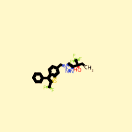 CCC(O)(c1cn(Cc2ccc3c(-c4ccccc4)c(C(F)F)sc3c2)nn1)C(F)(F)F